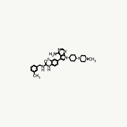 Cc1cccc(CNC(=O)Nc2ccc(-c3cn([C@H]4CC[C@@H](N5CCN(C)CC5)CC4)c4ncnc(N)c34)cc2F)c1